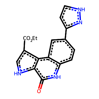 CCOC(=O)c1c[nH]c2c(=O)[nH]c3ccc(-c4cc[nH]n4)cc3c12